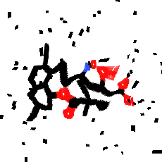 CCC(C)(C)C(=O)OC1CC(C)C=C2C=CC(C)C(CCC(CC(O)CC(=O)O)N=O)C21